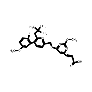 COc1ccc(F)c(-c2ccc(COc3cc(/C=C/C(=O)O)nc(OC)n3)nc2CC(C)(C)C)c1